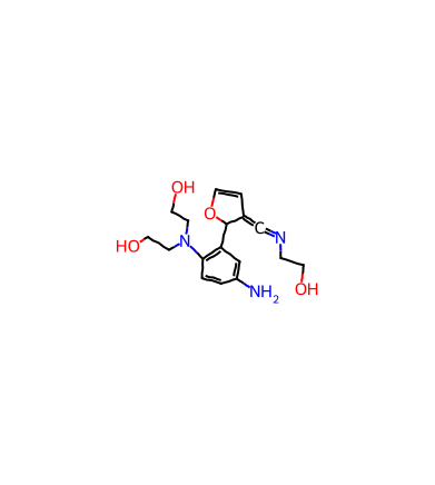 Nc1ccc(N(CCO)CCO)c(C2OC=CC2=C=NCCO)c1